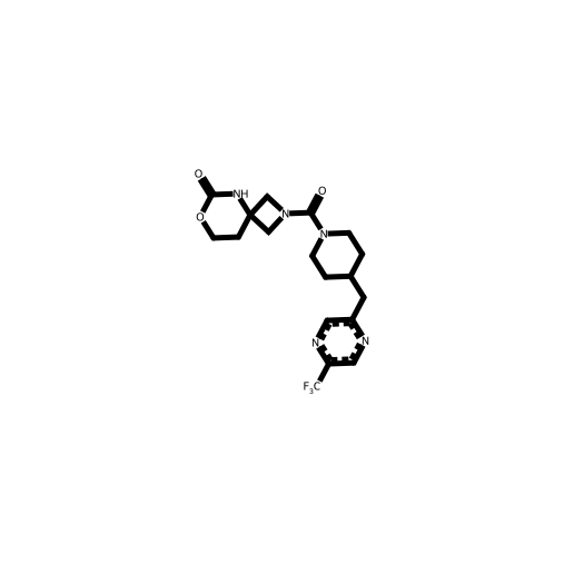 O=C1NC2(CCO1)CN(C(=O)N1CCC(Cc3cnc(C(F)(F)F)cn3)CC1)C2